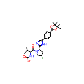 CC(C)[C@H](NC(=O)O)C(=O)N1C[C@@H](F)C[C@H]1c1ncc(-c2ccc(B3OC(C)(C)C(C)(C)O3)cc2)[nH]1